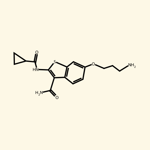 NCCCOc1ccc2c(C(N)=O)c(NC(=O)C3CC3)sc2c1